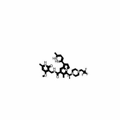 COc1cc(C)[nH]c(=O)c1CNC(=O)c1cc2c(C3=CC=C(C)NN3)ccn2c([C@H](C)N2CCN(CC(F)(F)F)CC2)c1C